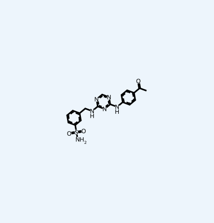 CC(=O)c1ccc(Nc2ncnc(NCc3cccc(S(N)(=O)=O)c3)n2)cc1